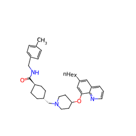 CCCCCCc1cc(OC2CCN(C[C@H]3CC[C@H](C(=O)NCc4ccc(C)cc4)CC3)CC2)c2ncccc2c1